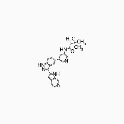 CC(C)(C)CC(=O)Nc1cncc(-c2ccc3[nH]nc(-c4cc5ccncc5[nH]4)c3c2)c1